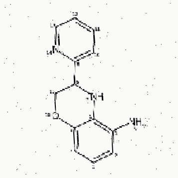 Nc1cccc2c1NC(c1ccccn1)CO2